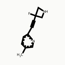 Cc1ccc(C#CC2(F)CNC2)nc1